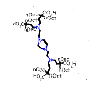 CCCCCCCCCCC(CCCCCCCC)(CCN(CCN1CCN(CCN(CCC(CCCCCCCC)(CCCCCCCCCC)C(=O)O)CCC(CCCCCCCC)(CCCCCCCCCC)C(=O)O)CC1)CCC(CCCCCCCC)(CCCCCCCCCC)C(=O)O)C(=O)O